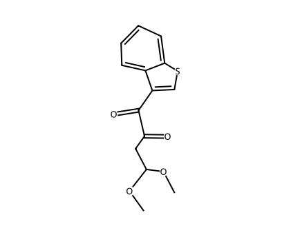 COC(CC(=O)C(=O)c1csc2ccccc12)OC